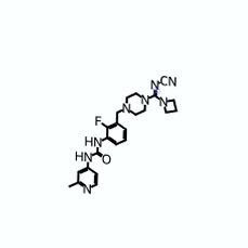 Cc1cc(NC(=O)Nc2cccc(CN3CCN(/C(=N/C#N)N4CCC4)CC3)c2F)ccn1